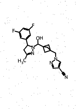 CC1=NN(C(O)C23CC(Cn4cc(C#N)cn4)(C2)C3)C(c2cc(F)cc(F)c2)C1